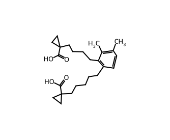 Cc1ccc(CCCCCC2(C(=O)O)CC2)c(CCCCC2(C(=O)O)CC2)c1C